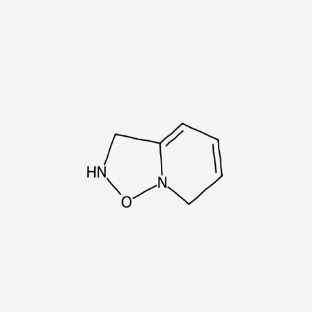 C1=CCN2ONCC2=C1